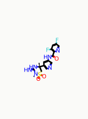 CN1C(=N)N[C@](C)(c2cncc(NC(=O)c3ncc(F)cc3F)c2)CS1(=O)=O